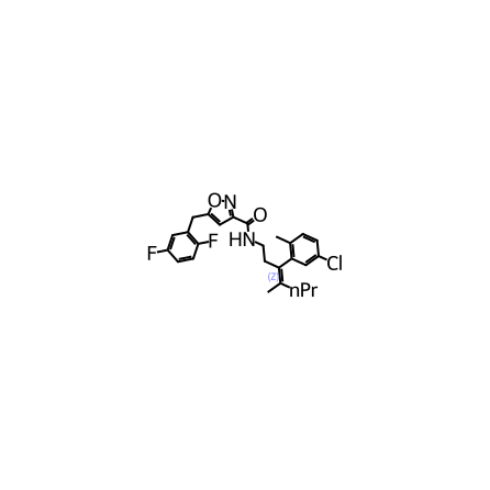 CCC/C(C)=C(/CCNC(=O)c1cc(Cc2cc(F)ccc2F)on1)c1cc(Cl)ccc1C